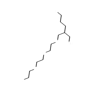 CCCCC(CC)COCCOCCOCCC